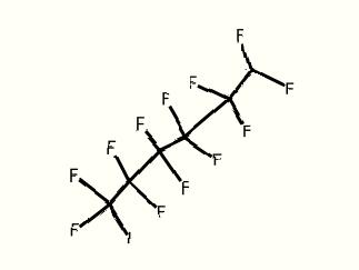 F[C](F)C(F)(F)C(F)(F)C(F)(F)C(F)(F)C(F)(F)I